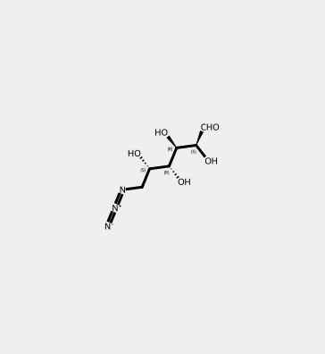 [N-]=[N+]=NC[C@H](O)[C@@H](O)[C@@H](O)[C@H](O)C=O